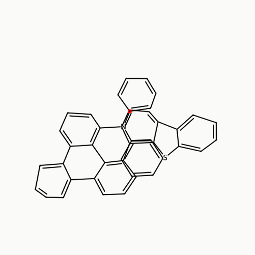 c1ccc(N(c2ccccc2)c2cccc3c4ccccc4c4cccc(-c5cccc6c5sc5ccccc56)c4c23)cc1